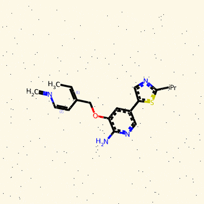 C=N/C=C\C(=C/C)COc1cc(-c2cnc(C(C)C)s2)cnc1N